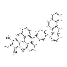 Oc1c(O)c(O)c(-c2c3ccccc3c(C3=CCC=C(c4cccc5oc6c7ccccc7ccc6c45)C=C3)c3ccccc23)c(O)c1O